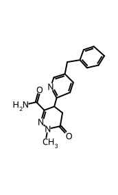 CN1N=C(C(N)=O)C(c2ccc(Cc3ccccc3)cn2)CC1=O